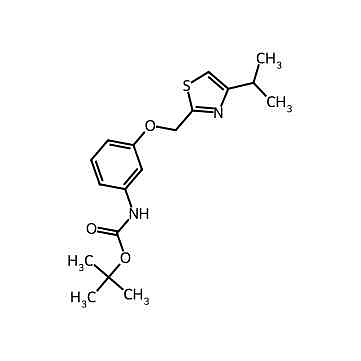 CC(C)c1csc(COc2cccc(NC(=O)OC(C)(C)C)c2)n1